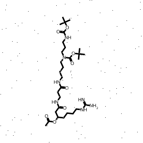 CC(=O)OC(CCCCNC(=N)N)CC(=O)NCCC(=O)NCCCCN(CCCNC(=O)OC(C)(C)C)C(=O)OC(C)(C)C